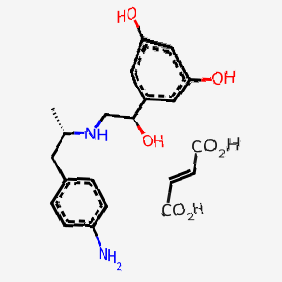 C[C@@H](Cc1ccc(N)cc1)NC[C@H](O)c1cc(O)cc(O)c1.O=C(O)/C=C/C(=O)O